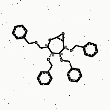 c1ccc(COC[C@H]2OC3OC3[C@H](OCc3ccccc3)[C@@H](OCc3ccccc3)[C@@H]2OCc2ccccc2)cc1